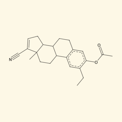 CCc1cc2c(cc1OC(C)=O)CCC1C2CCC2(C)C(C#N)=CCC12